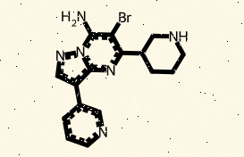 Nc1c(Br)c(C2CCCNC2)nc2c(-c3cccnc3)cnn12